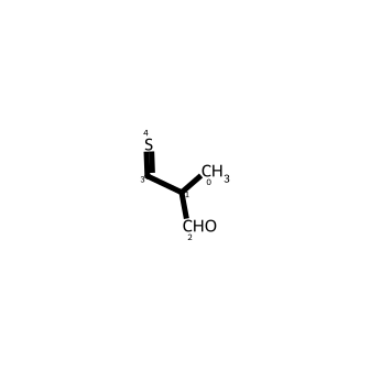 CC(C=O)C=S